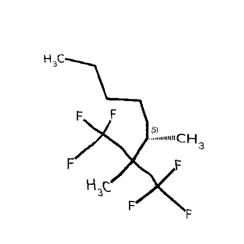 CCCC[C@H](C)C(C)(C(F)(F)F)C(F)(F)F